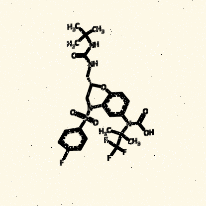 CC(C)(C)NC(=O)NC[C@H]1CN(S(=O)(=O)c2ccc(F)cc2)c2cc(N(C(=O)O)C(C)(C)C(F)(F)F)ccc2O1